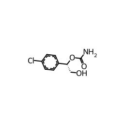 NC(=O)O[C@H](CO)c1ccc(Cl)cc1